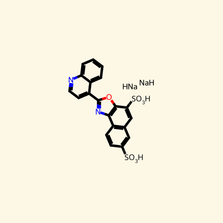 O=S(=O)(O)c1ccc2c(c1)cc(S(=O)(=O)O)c1oc(-c3ccnc4ccccc34)nc12.[NaH].[NaH]